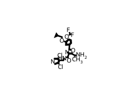 C[C@H](N)c1oc(-c2ccc(OC(F)F)c(OCC3CC3)c2)nc1C(=O)NCc1c(Cl)cncc1Cl